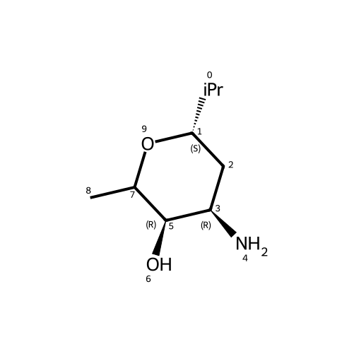 CC(C)[C@@H]1C[C@@H](N)[C@@H](O)C(C)O1